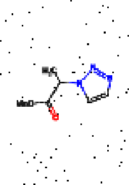 COC(=O)C(C)n1ccnn1